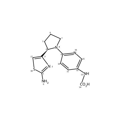 Nc1nc([C@H]2CCCN2c2ccc(NC(=O)O)cn2)cs1